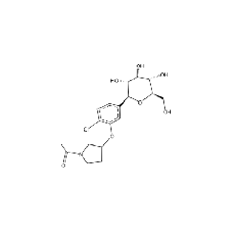 CC(=O)N1CCC(Oc2cc([C@@H]3O[C@H](CO)[C@@H](O)[C@H](O)[C@H]3O)ccc2Cl)C1